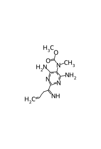 C=CCC(=N)c1nc(N)c(N(C)C(=O)OC)c(N)n1